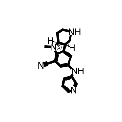 CN1c2c(C#N)cc(Nc3cccnc3)cc2[C@@H]2CNCC[C@@H]21